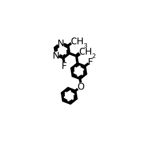 C=C(c1ccc(Oc2ccccc2)cc1F)c1c(C)ncnc1F